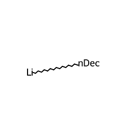 [Li][CH2]CCCCCCCCCCCCCCCCCCCCCCCC